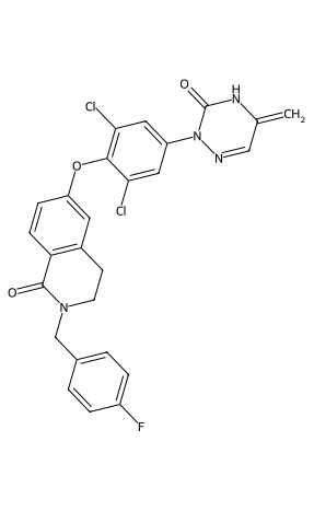 C=C1C=NN(c2cc(Cl)c(Oc3ccc4c(c3)CCN(Cc3ccc(F)cc3)C4=O)c(Cl)c2)C(=O)N1